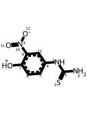 NC(=S)Nc1ccc(O)c([N+](=O)[O-])c1